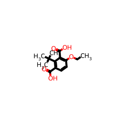 CCOc1ccc(C(=O)O)c(C(C)(C)C)c1C(=O)O